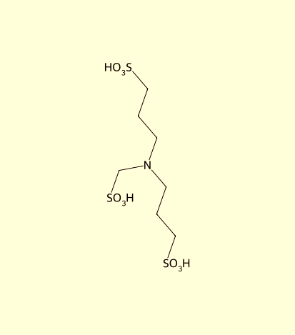 O=S(=O)(O)CCCN(CCCS(=O)(=O)O)CS(=O)(=O)O